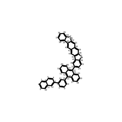 c1cc(-c2ccc3ccccc3c2)cc(-c2c3ccccc3c(-c3ccc4sc5cc6cc7sc8ccccc8c7cc6cc5c4c3)c3ccccc23)c1